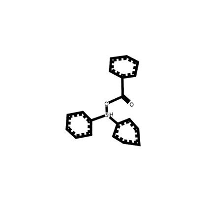 O=C(O[SiH](c1ccccc1)c1ccccc1)c1ccccc1